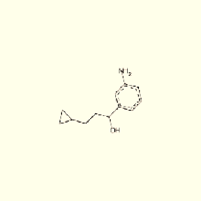 Nc1cccc(C(O)CCC2CC2)c1